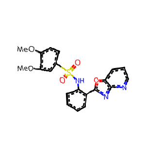 COc1ccc(S(=O)(=O)Nc2ccccc2-c2nc3ncccc3o2)cc1OC